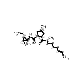 C=C[C@H]1C[C@]1(NC(=O)N1C[C@H](O)C[C@H]1C(=O)N(C)CCCCC=CC)C(=O)OCC